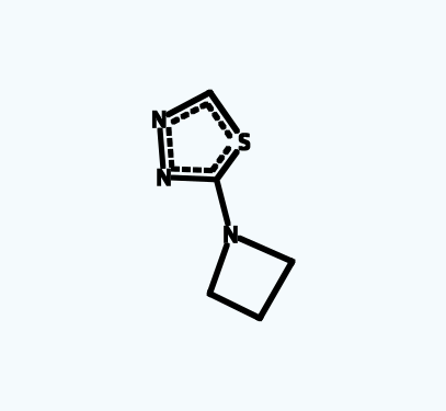 c1nnc(N2CCC2)s1